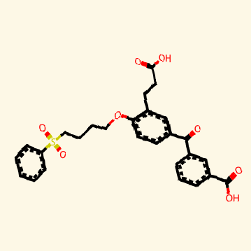 O=C(O)CCc1cc(C(=O)c2cccc(C(=O)O)c2)ccc1OCCCCS(=O)(=O)c1ccccc1